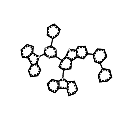 c1ccc(-c2cccc(-c3ccc4sc5c(-c6nc(-c7ccccc7)nc(-n7c8ccccc8c8ccccc87)n6)cc(-n6c7ccccc7c7ccccc76)cc5c4c3)c2)cc1